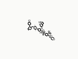 C[C@@H]1CN(c2ccc(C(=O)NS(=O)(=O)c3ccc(NCC4CCOCC4)c([N+](=O)[O-])c3)c(Oc3cnc4[nH]ccc4c3)c2)[C@H](C)CN1CC1=C(c2ccc(Cl)cc2)CC(C)(C)CC1